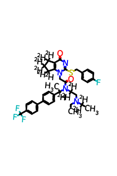 [2H]C([2H])(C)N(CC)CC([2H])([2H])N(C(=O)Cn1c(SCc2ccc(F)cc2)nc(=O)c2c1C([2H])([2H])C([2H])([2H])C2([2H])[2H])C([2H])(C)c1ccc(-c2ccc(C(F)(F)F)cc2)cc1